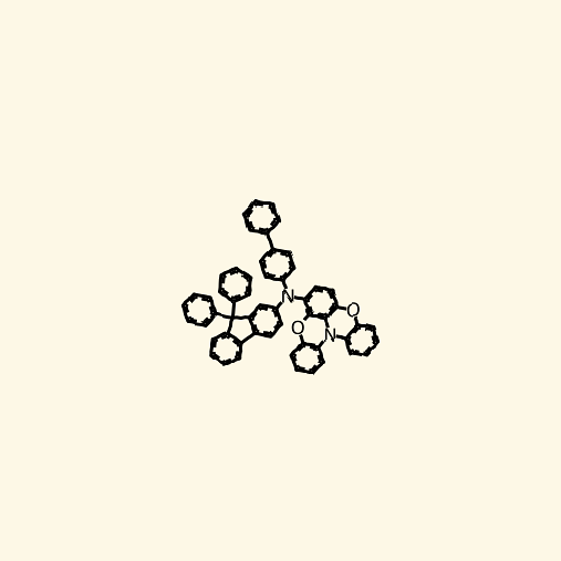 c1ccc(-c2ccc(N(c3ccc4c(c3)C(c3ccccc3)(c3ccccc3)c3ccccc3-4)c3ccc4c5c3Oc3ccccc3N5c3ccccc3O4)cc2)cc1